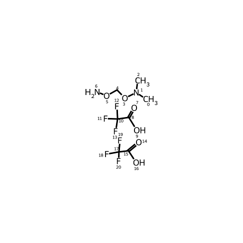 CN(C)OCON.O=C(O)C(F)(F)F.O=C(O)C(F)(F)F